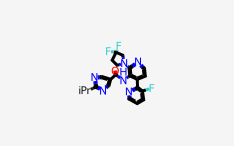 CC(C)c1ncc(C(=O)Nc2c(-c3ncccc3F)ccnc2N2CCC(F)(F)C2)cn1